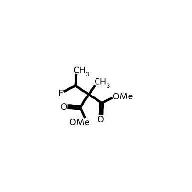 COC(=O)C(C)(C(=O)OC)C(C)F